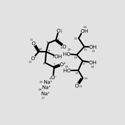 O=C([O-])CC(O)(CC(=O)[O-])C(=O)[O-].O=CC(O)C(O)C(O)C(O)CO.[Na+].[Na+].[Na+]